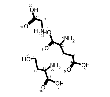 NC(CCC(=O)O)C(=O)O.NC(CCO)C(=O)O.NCC(=O)O